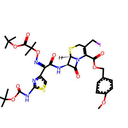 COc1ccc(COC(=O)C2=C(CI)CS[C@@H]3[C@H](NC(=O)/C(=N\OC(C)(C)C(=O)OC(C)(C)C)c4csc(NC(=O)OC(C)(C)C)n4)C(=O)N23)cc1